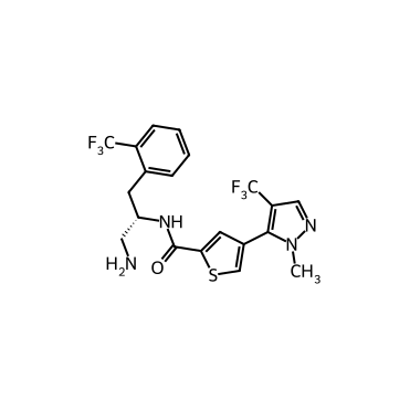 Cn1ncc(C(F)(F)F)c1-c1csc(C(=O)N[C@H](CN)Cc2ccccc2C(F)(F)F)c1